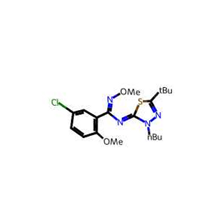 CCCCn1nc(C(C)(C)C)sc1=NC(=NOC)c1cc(Cl)ccc1OC